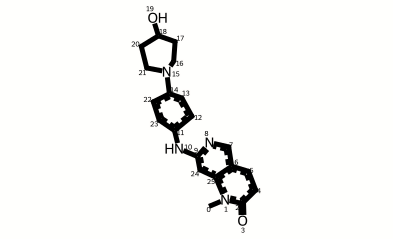 Cn1c(=O)ccc2cnc(Nc3ccc(N4CCC(O)CC4)cc3)cc21